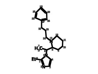 CCc1nccn1C(C)C1CCCCN1CCCc1ccccc1